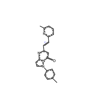 Cc1ccc(-n2ccc3nc(/C=C/c4cccc(C)n4)cc(=O)n32)cc1